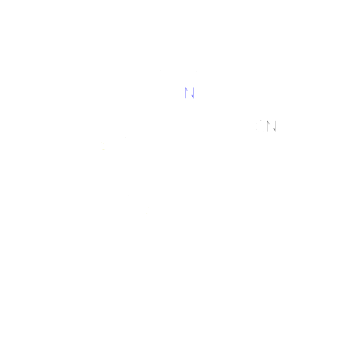 N#Cc1ccc(-c2ccc3sc4ccc5c6cc(-c7ccccc7)ccc6sc5c4c3c2)c(-n2c3c(c4ccccc42)C=CCC3)c1